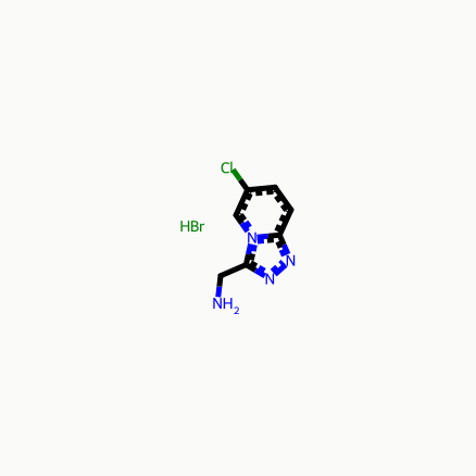 Br.NCc1nnc2ccc(Cl)cn12